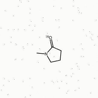 CN1CCCC1=[18O]